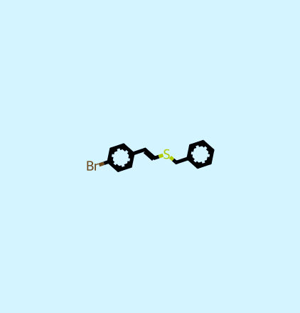 Brc1ccc(C=CSCc2ccccc2)cc1